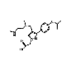 CNCCN(C)Cc1cn(CC(=O)O)nc1-c1ccc(OC(C)C)cc1